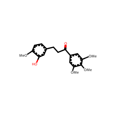 COc1ccc(CCC(=O)c2cc(OC)c(OC)c(OC)c2)cc1O